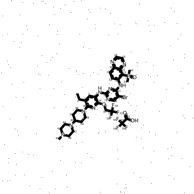 CCc1cc(Nc2ncc(Br)c(Nc3ccc4nccnc4c3P(C)(C)=O)n2)c(OCC(F)(F)F)nc1N1CCC(N2CCN(C)CC2)CC1.O=C(O)C(F)(F)F